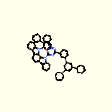 c1ccc(-c2cc(-c3ccccc3)cc(-c3cccc(-c4nc(-c5ccccc5)nc(-n5c6ccccc6c6ccc7c8ccccc8n(-c8ccccc8-c8ccccc8)c7c65)n4)c3)c2)cc1